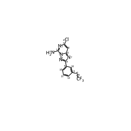 Nc1nc(Cl)cc2nc(-c3cccc(SC(F)(F)F)c3)nn12